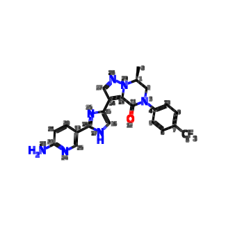 C[C@H]1CN(c2ccc(C(F)(F)F)cc2)C(=O)c2c(-c3c[nH]c(-c4ccc(N)nc4)n3)cnn21